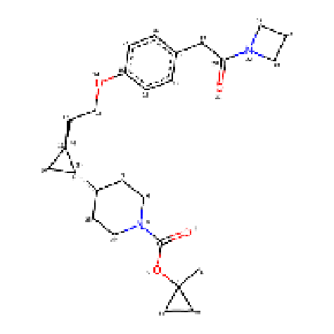 CC1(OC(=O)N2CCC([C@@H]3C[C@H]3CCOc3ccc(CC(=O)N4CCC4)cc3)CC2)CC1